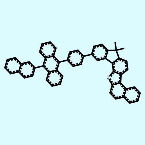 CC1(C)c2ccc(-c3ccc(-c4c5ccccc5c(-c5ccc6ccccc6c5)c5ccccc45)cc3)cc2-c2c1ccc1c2oc2ccc3ccccc3c21